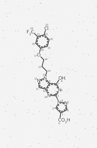 O=C(O)c1cnn(-c2nc(O)c3c(cnn3CCCOc3ccc(Cl)c(C(F)(F)F)c3)n2)c1